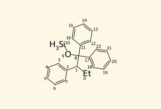 CCC(c1ccccc1)C(O[SiH3])(c1ccccc1)c1ccccc1